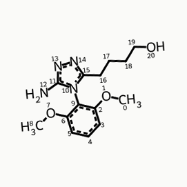 COc1cccc(OC)c1-n1c(N)nnc1CCCCO